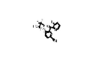 N#Cc1ccc(N)c(C(=O)c2ncccc2F)n1.O=C(O)C(F)(F)F